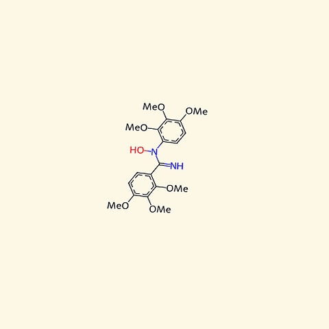 COc1ccc(C(=N)N(O)c2ccc(OC)c(OC)c2OC)c(OC)c1OC